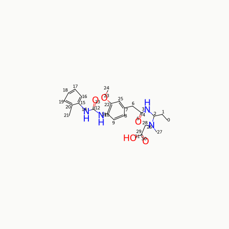 CCC(NC(=O)Cc1ccc(NC(=O)Nc2ccccc2C)c(OC)c1)N(C)CC(=O)O